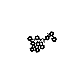 c1ccc(-c2nc(-c3cccc(-n4c5ccccc5c5cc6c(cc54)C4(c5ccccc5-c5ccccc54)c4ccccc4-6)c3)nc(-c3ccc4c(c3)sc3cccc(-c5ccccc5)c34)n2)cc1